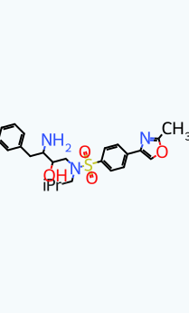 Cc1nc(-c2ccc(S(=O)(=O)N(CC(C)C)CC(O)C(N)Cc3ccccc3)cc2)co1